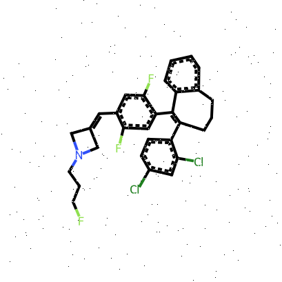 FCCCN1CC(=Cc2cc(F)c(C3=C(c4ccc(Cl)cc4Cl)CCCc4ccccc43)cc2F)C1